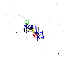 C[C@@H](Nc1cc(Cl)cnc1C(=O)O)c1ccc(C(=O)N[C@@H](CC2CCCC2)C(=O)NC2CC2)s1